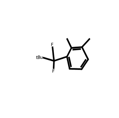 Cc1cccc(C(F)(F)C(C)(C)C)c1C